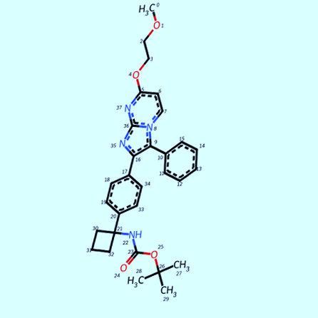 COCCOc1ccn2c(-c3ccccc3)c(-c3ccc(C4(NC(=O)OC(C)(C)C)CCC4)cc3)nc2n1